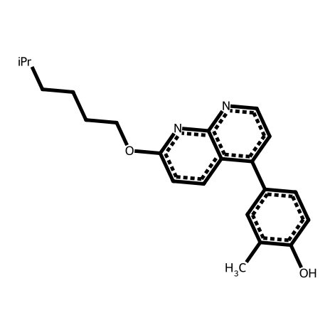 Cc1cc(-c2ccnc3nc(OCCCCC(C)C)ccc23)ccc1O